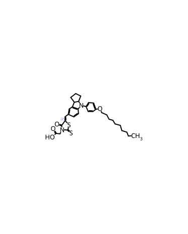 CCCCCCCCCCOc1ccc(N2c3ccc(/C=C4\SC(=S)N(CC(=O)O)C4=O)cc3C3CCCC32)cc1